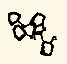 Clc1ccccc1-c1nc2cccc(Oc3ccccc3)n2c1Nc1ccccc1